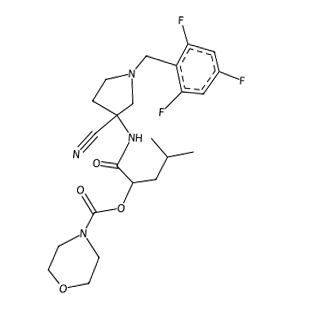 CC(C)CC(OC(=O)N1CCOCC1)C(=O)NC1(C#N)CCN(Cc2c(F)cc(F)cc2F)C1